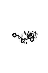 CC(C)(C)[Si](C)(C)O[C@@H](CCN1C(=O)CC[C@@H]1C(=O)OCc1ccccc1)C1CCCCC1